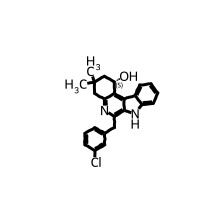 CC1(C)Cc2nc(Cc3cccc(Cl)c3)c3[nH]c4ccccc4c3c2[C@@H](O)C1